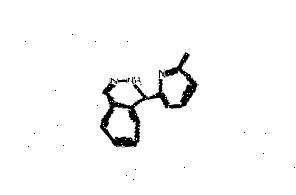 Cc1cccc(C2NN=Cc3ccccc32)n1